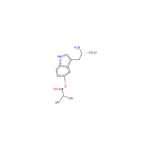 CCCC(CCC)C(=O)Oc1ccc2[nH]cc(C[C@H](N)C(=O)O)c2c1